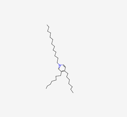 CCCCCCCCCCCCC[n+]1ccc(CCCCCCC)c(CCCCCCC)c1